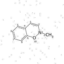 CN1C=Cc2ccccc2O1